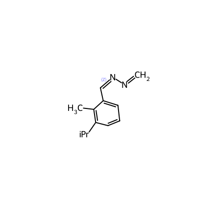 C=N/N=C\c1cccc(C(C)C)c1C